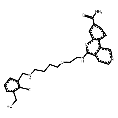 NC(=O)c1ccc2c(c1)nc(NCCOCCCCNCc1cccc(CO)c1Cl)c1ccncc12